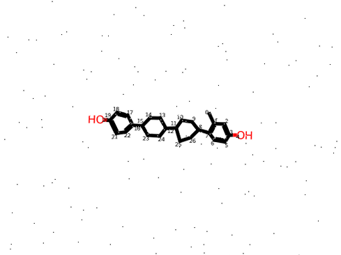 Cc1cc(O)ccc1C1CCC(C2CCC(c3ccc(O)cc3)CC2)CC1